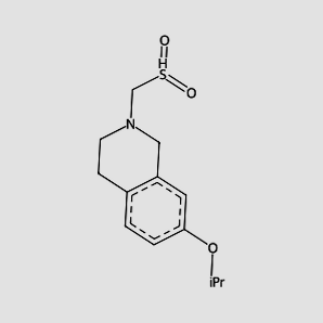 CC(C)Oc1ccc2c(c1)CN(C[SH](=O)=O)CC2